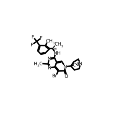 Cc1nc(N[C@H](C)c2cccc(C(F)(F)F)c2C)c2cn(C34CCN(CC3)CC4)c(=O)c(Br)c2n1